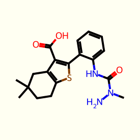 CN(N)C(=O)Nc1ccccc1-c1sc2c(c1C(=O)O)CC(C)(C)CC2